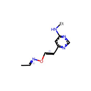 C/C=N/O/C=C/c1cc(NCC)ncn1